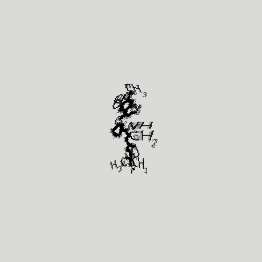 C=C(Cc1coc(C(C)(CC)CF)c1)C(=N)C1=CC(Oc2ccnc3cc(OCC)c(OC)cc23)=CCC1